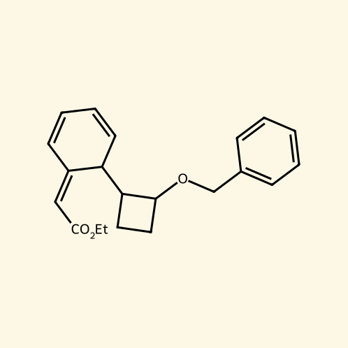 CCOC(=O)/C=C1/C=CC=CC1C1CCC1OCc1ccccc1